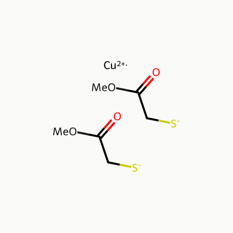 COC(=O)C[S-].COC(=O)C[S-].[Cu+2]